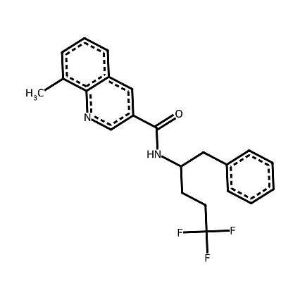 Cc1cccc2cc(C(=O)NC(CCC(F)(F)F)Cc3ccccc3)cnc12